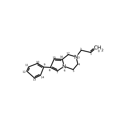 C=CCN1CCn2cc(-c3ccccc3)cc2C1